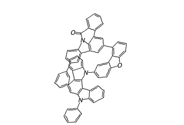 O=c1c2ccccc2c2cc(-c3cccc4oc5ccc(-n6c7ccccc7c7ccc8c(c9ccccc9n8-c8ccccc8)c76)cc5c34)cc3c4cc(-c5ccccc5)ccc4n1c23